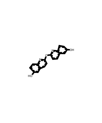 Oc1ccc2nc(Oc3ccc4cc(O)ccc4n3)ccc2c1